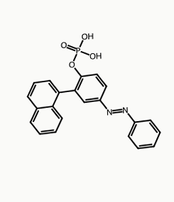 O=P(O)(O)Oc1ccc(/N=N/c2ccccc2)cc1-c1cccc2ccccc12